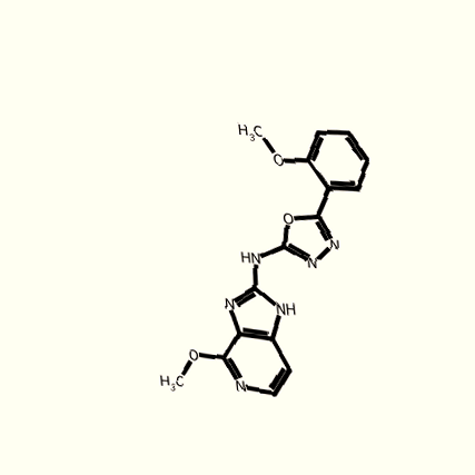 COc1ccccc1-c1nnc(Nc2nc3c(OC)nccc3[nH]2)o1